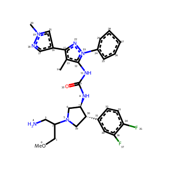 COCC(CN)N1C[C@@H](NC(=O)Nc2c(C)c(-c3cnn(C)c3)nn2-c2ccccc2)[C@H](c2ccc(F)c(F)c2)C1